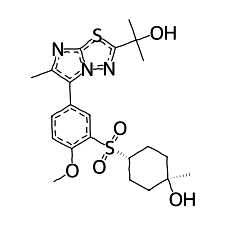 COc1ccc(-c2c(C)nc3sc(C(C)(C)O)nn23)cc1S(=O)(=O)[C@H]1CC[C@](C)(O)CC1